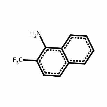 Nc1c(C(F)(F)F)ccc2ccccc12